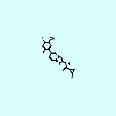 Cc1cc(F)c(O)cc1-c1ccc2nc(NC(=O)C3CC3F)cn2c1